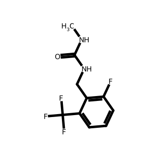 CNC(=O)NCc1c(F)cccc1C(F)(F)F